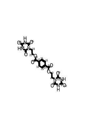 O=C(OCCn1c(=O)[nH]c(=O)[nH]c1=O)c1ccc(C(=O)OCCn2c(=O)[nH]c(=O)[nH]c2=O)cc1